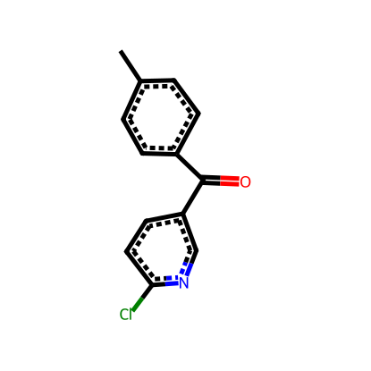 Cc1ccc(C(=O)c2ccc(Cl)nc2)cc1